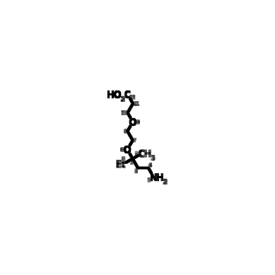 CCC(C)(CCN)OCCOCCC(=O)O